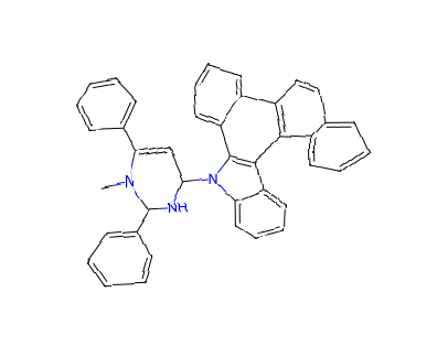 CN1C(c2ccccc2)=CC(n2c3ccccc3c3c4c5ccccc5ccc4c4ccccc4c32)NC1c1ccccc1